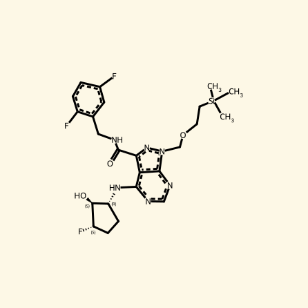 C[Si](C)(C)CCOCn1nc(C(=O)NCc2cc(F)ccc2F)c2c(N[C@@H]3CC[C@H](F)[C@H]3O)ncnc21